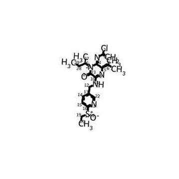 C=C(Cl)/N=C1\C(=C(C)C)N=C(NCc2ccc([S+]([O-])CC)nc2)C(=O)N1[C@H](C)CC